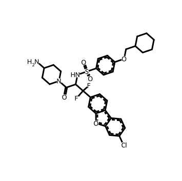 NC1CCN(C(=O)C(NS(=O)(=O)c2ccc(OCC3CCCCC3)cc2)C(F)(F)c2ccc3c(c2)oc2cc(Cl)ccc23)CC1